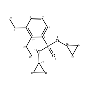 CCc1cccc(P(=O)(OC2CC2)OC2CC2)c1CC